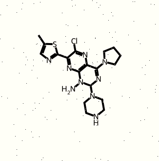 Cc1cnc(-c2nc3c(nc2Cl)C(N2CCCC2)=NC(N2CCNCC2)N3N)s1